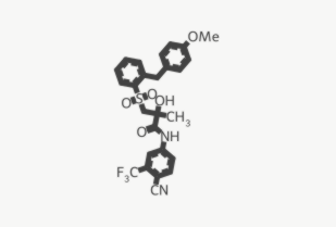 COc1ccc(Cc2ccccc2S(=O)(=O)CC(C)(O)C(=O)Nc2ccc(C#N)c(C(F)(F)F)c2)cc1